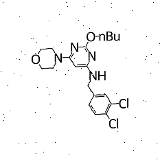 CCCCOc1nc(NCc2ccc(Cl)c(Cl)c2)cc(N2CCOCC2)n1